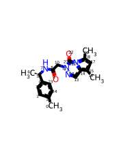 Cc1ccc([C@H](C)NC(=O)Cn2ncc3c(C)cc(C)n3c2=O)cc1